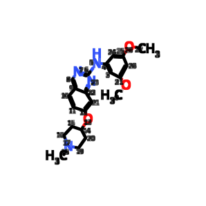 COc1cc(Nc2ncc3ccc(OC4CCN(C)CC4)cc3n2)cc(OC)c1